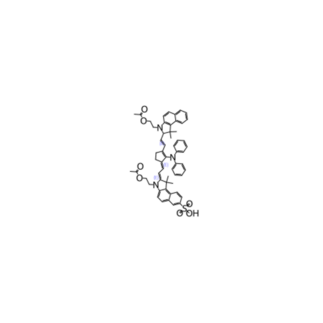 CC(=O)OCCN1/C(=C/C=C2\CCC(/C=C/C3N(CCOC(C)=O)c4ccc5ccccc5c4C3(C)C)=C2N(c2ccccc2)c2ccccc2)C(C)(C)c2c1ccc1cc(S(=O)(=O)O)ccc21